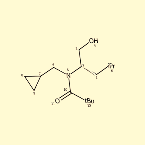 CC(C)C[C@@H](CO)N(CC1CC1)C(=O)C(C)(C)C